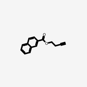 C#CCCOC(=O)c1ccc2ccccc2c1